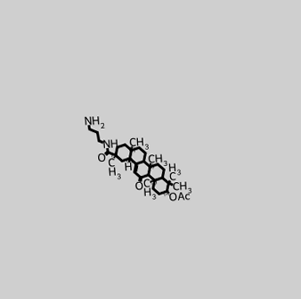 CC(=O)O[C@H]1CC[C@@]2(C)C(CC[C@@]3(C)C4CC[C@@]5(C)CC[C@](C)(C(=O)NCCCN)C[C@H]5C4=CC(=O)C32)C1(C)C